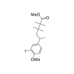 COC(=O)C(C)(C)C(C)(C)CC(C)c1ccc(OC)c(I)c1